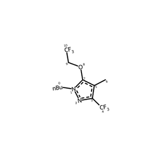 CCCCn1nc(C(F)(F)F)c(C)c1OCC(F)(F)F